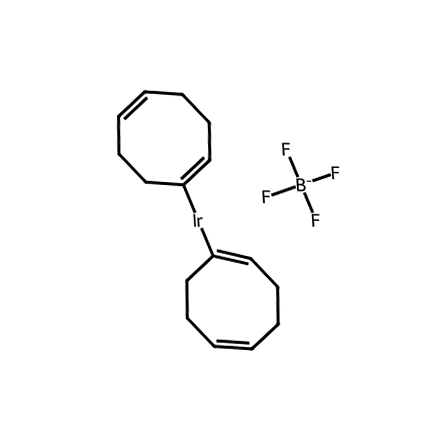 C1=CCC[C]([Ir][C]2=CCCC=CCC2)=CCC1.F[B-](F)(F)F